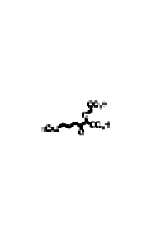 CCCCCCCCCCCC(=O)C(OCC(=O)O)C(=O)O